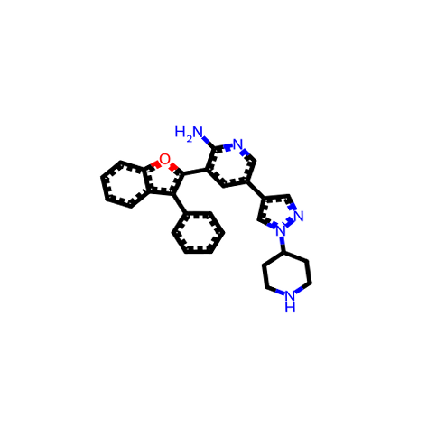 Nc1ncc(-c2cnn(C3CCNCC3)c2)cc1-c1oc2ccccc2c1-c1ccccc1